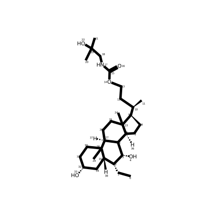 CC[C@H]1[C@@H](O)C2[C@@H]3CC[C@H]([C@H](C)CCOC(=O)NCC(C)(C)O)C3(C)CC[C@@H]2C2(C)CC[C@@H](O)C[C@@H]12